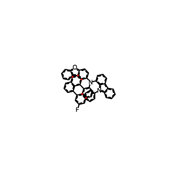 Fc1cccc(-c2cccc3cccc(-c4ccccc4N(c4ccc5oc6ccccc6c5c4)c4cccc5c6ccccc6n(-c6ccccc6)c45)c23)c1